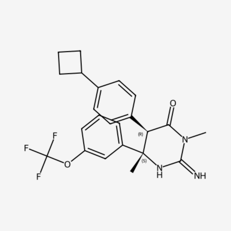 CN1C(=N)N[C@](C)(c2cccc(OC(F)(F)F)c2)[C@@H](c2ccc(C3CCC3)cc2)C1=O